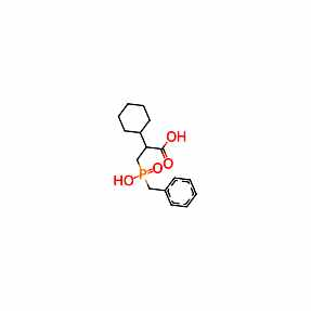 O=C(O)C(CP(=O)(O)Cc1ccccc1)C1CCCCC1